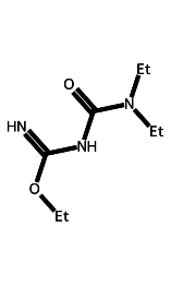 CCOC(=N)NC(=O)N(CC)CC